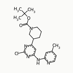 Cc1ccnc(Nc2cc(C3CCCN(C(=O)OC(C)(C)C)C3)nc(Cl)n2)c1